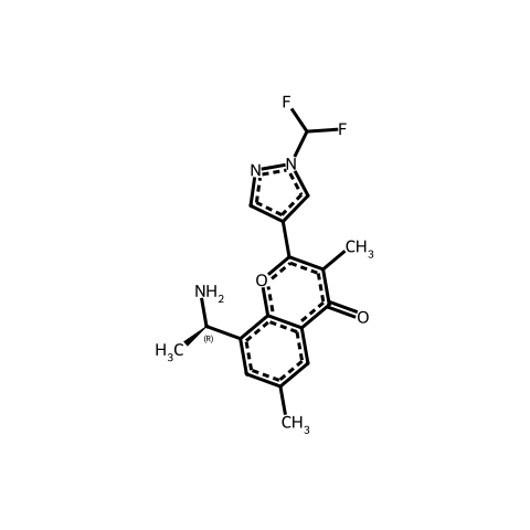 Cc1cc([C@@H](C)N)c2oc(-c3cnn(C(F)F)c3)c(C)c(=O)c2c1